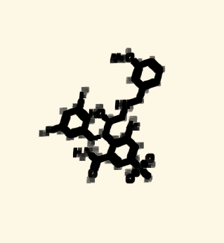 COc1cccc(CNC[C@H](O)[C@@H](Cc2cc(F)cc(F)c2)c2c(C(C)=O)cc(S(C)(=O)=O)cc2C(N)=O)c1